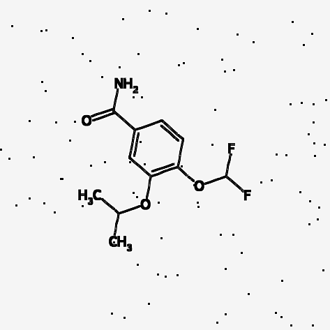 CC(C)Oc1cc(C(N)=O)ccc1OC(F)F